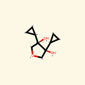 O[C@@]1(C2CC2)COC[C@]1(O)C1CC1